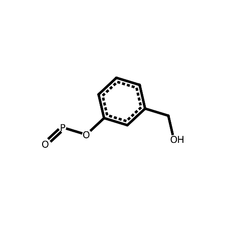 O=POc1cccc(CO)c1